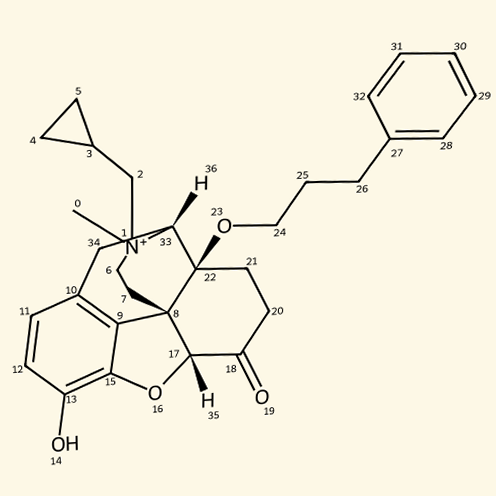 C[N+]1(CC2CC2)CC[C@]23c4c5ccc(O)c4O[C@H]2C(=O)CC[C@@]3(OCCCc2ccccc2)[C@H]1C5